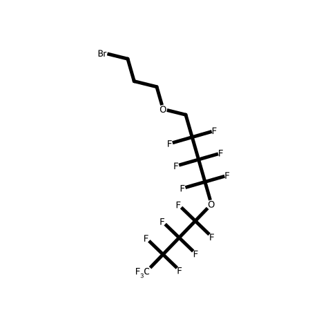 FC(F)(F)C(F)(F)C(F)(F)C(F)(F)OC(F)(F)C(F)(F)C(F)(F)COCCCBr